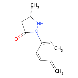 C=C/C=C\C(=C/C)N1N[C@@H](C)CC1=O